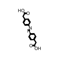 O=C(O)Cc1ccc(N=Nc2ccc(CC(=O)O)cc2)cc1